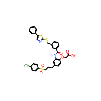 O=C(O)COc1ccc(CCCS(=O)(=O)c2ccc(Cl)cc2)cc1NC(=O)c1cccc(CSc2ncc(-c3ccccc3)s2)c1